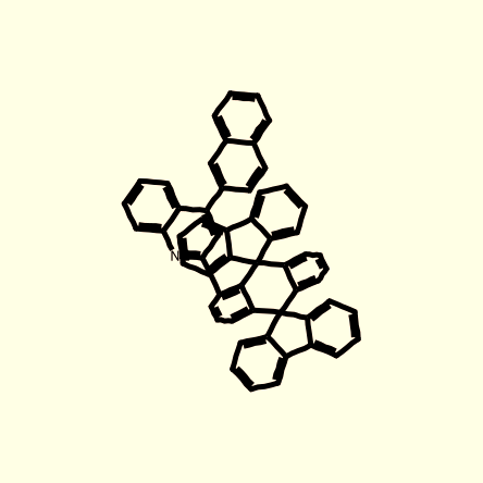 c1ccc2c(c1)-c1ccccc1C21c2ccccc2C2(c3ccccc3-c3ccccc32)c2c(-c3cc(-c4ccc5ccccc5c4)c4ccccc4n3)cccc21